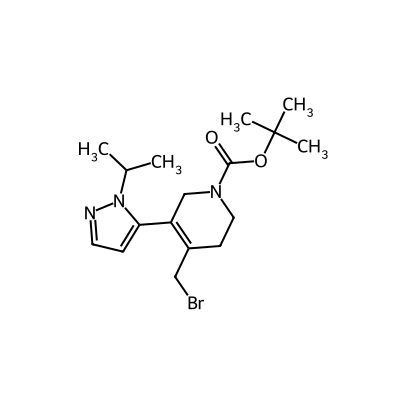 CC(C)n1nccc1C1=C(CBr)CCN(C(=O)OC(C)(C)C)C1